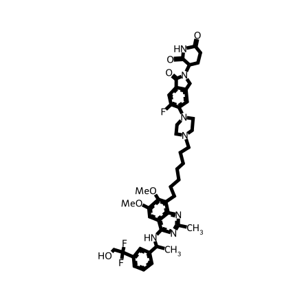 COc1cc2c(NC(C)c3cccc(C(F)(F)CO)c3)nc(C)nc2c(CCCCCCCN2CCN(c3cc4c(cc3F)C(=O)N(C3CCC(=O)NC3=O)C4)CC2)c1OC